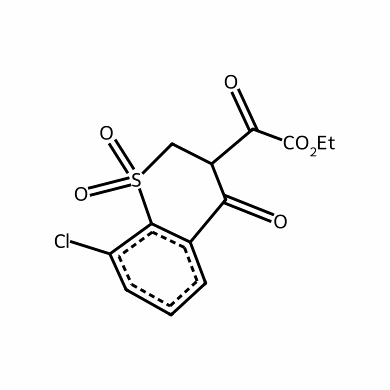 CCOC(=O)C(=O)C1CS(=O)(=O)c2c(Cl)cccc2C1=O